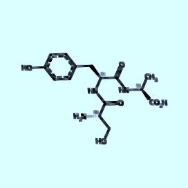 C[C@H](NC(=O)[C@H](Cc1ccc(O)cc1)NC(=O)[C@@H](N)CO)C(=O)O